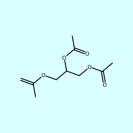 C=C(C)OCC(COC(C)=O)OC(C)=O